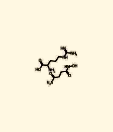 N=C(N)NCCCC(N)C(=O)O.NC(=O)CCC(=O)NO